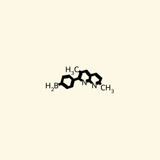 Bc1ccc(-c2nc3nc(C)ccc3cc2C)cc1